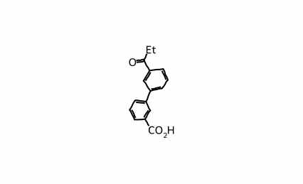 CCC(=O)c1cccc(-c2cccc(C(=O)O)c2)c1